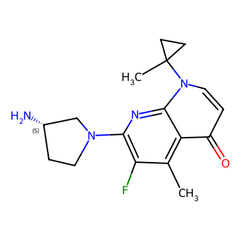 Cc1c(F)c(N2CC[C@H](N)C2)nc2c1c(=O)ccn2C1(C)CC1